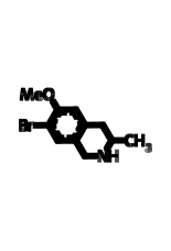 COc1cc2c(cc1Br)CNC(C)C2